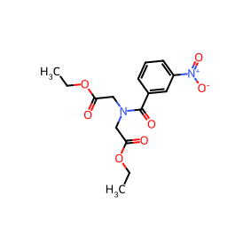 CCOC(=O)CN(CC(=O)OCC)C(=O)c1cccc([N+](=O)[O-])c1